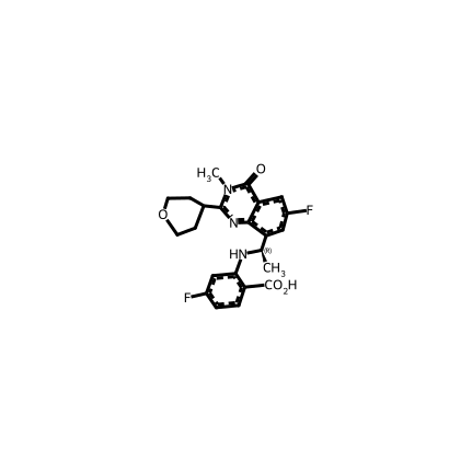 C[C@@H](Nc1cc(F)ccc1C(=O)O)c1cc(F)cc2c(=O)n(C)c(C3CCOCC3)nc12